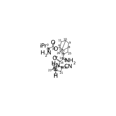 CC(C)[C@@H](N)C(=O)OC12CC3CC(C1)CC([C@H](N)C(=O)N1[C@H](C#N)C[C@@H]4C[C@@H]41)(C3)C2